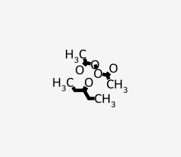 CC(=O)OOC(C)=O.CCC(=O)CC